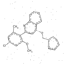 COc1cc(Cl)cc(C)c1-c1cc(OCc2ccccc2)c2ccccc2n1